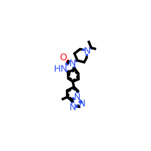 Cc1cc(-c2ccc3c(c2)[nH]c(=O)n3C2CCN(C(C)C)CC2)cn2ncnc12